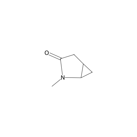 CN1C(=O)CC2CC21